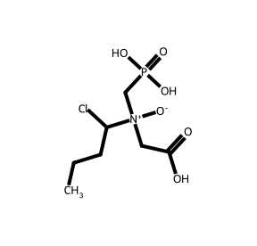 CCCC(Cl)[N+]([O-])(CC(=O)O)CP(=O)(O)O